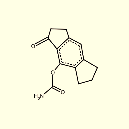 NC(=O)Oc1c2c(cc3c1C(=O)CC3)CCC2